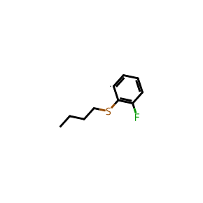 CCCCSc1[c]cccc1F